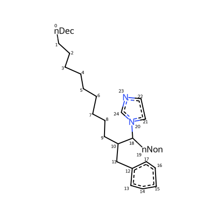 CCCCCCCCCCCCCCCCCCCC(Cc1ccccc1)C(CCCCCCCCC)n1ccnc1